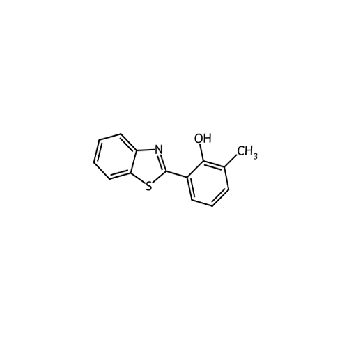 Cc1cccc(-c2nc3ccccc3s2)c1O